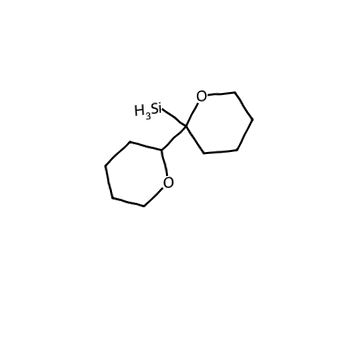 [SiH3]C1(C2CCCCO2)CCCCO1